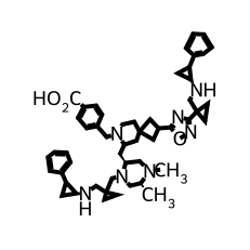 C[C@@H]1CN(CC2(CN[C@H]3CC3c3ccccc3)CC2)[C@@H](CC2CC3(CCN2Cc2ccc(C(=O)O)cc2)CC(c2nc(C4(CN[C@H]5CC5c5ccccc5)CC4)no2)C3)CN1C